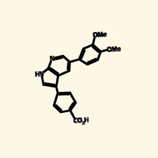 COc1ccc(-c2cnc3[nH]cc(-c4ccc(C(=O)O)cc4)c3c2)cc1OC